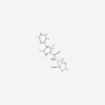 Cc1nc(C(=O)N[C@@H]2CC3CC[C@H]2C3)c(C)n1-c1ccccc1